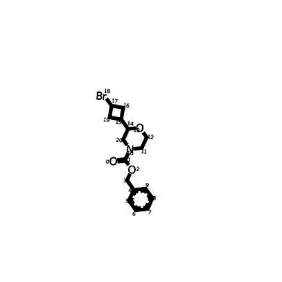 O=C(OCc1ccccc1)N1CCOC(C2CC(Br)C2)C1